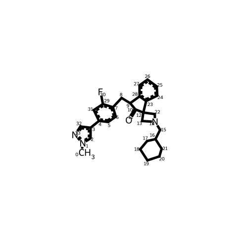 Cn1cc(-c2ccc(CC3C(=O)C4(CN(CC5CCCCC5)C4)c4ccccc43)c(F)c2)cn1